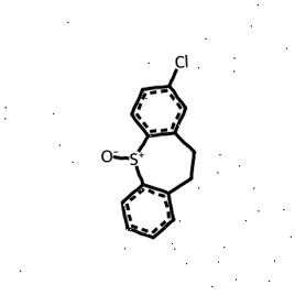 [O-][S+]1c2ccccc2CCc2cc(Cl)ccc21